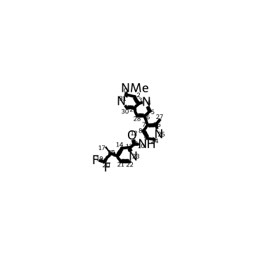 CNc1cc2ncc(-c3cc(NC(=O)c4cc([C@H](C)C(F)F)ccn4)cnc3C)cc2cn1